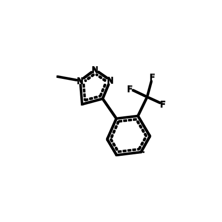 Cn1cc(-c2cc[c]cc2C(F)(F)F)nn1